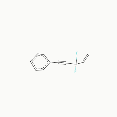 C=CC(F)(F)C#Cc1ccccc1